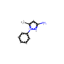 Nc1cc(C(F)(F)F)n(-c2ccccc2)n1